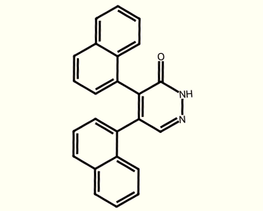 O=c1[nH]ncc(-c2cccc3ccccc23)c1-c1cccc2ccccc12